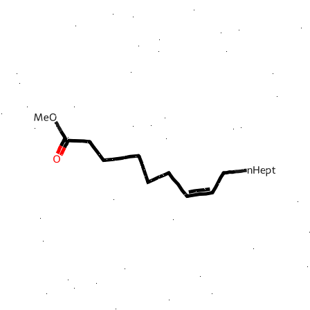 CCCCCCCC/C=C\CCCCCC(=O)OC